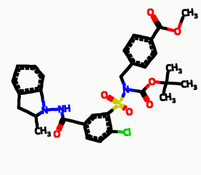 COC(=O)c1ccc(CN(C(=O)OC(C)(C)C)S(=O)(=O)c2cc(C(=O)NN3c4ccccc4CC3C)ccc2Cl)cc1